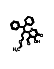 CCOCCC(C(C1=CC=CCC1)c1ccccc1)n1ncc(=O)c(O)c1C=O